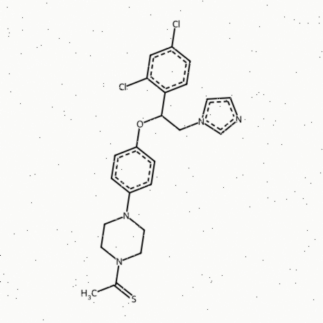 CC(=S)N1CCN(c2ccc(OC(Cn3ccnc3)c3ccc(Cl)cc3Cl)cc2)CC1